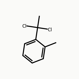 Cc1ccccc1C(C)(Cl)Cl